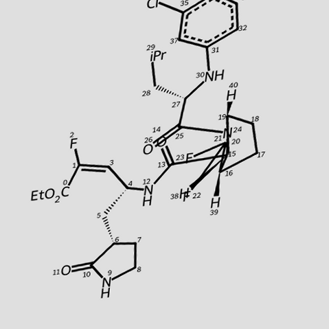 CCOC(=O)/C(F)=C\[C@@H](C[C@@H]1CCNC1=O)NC(=O)[C@H]1[C@H]2CC[C@H](CC2(F)F)N1C(=O)[C@H](CC(C)C)Nc1cccc(Cl)c1